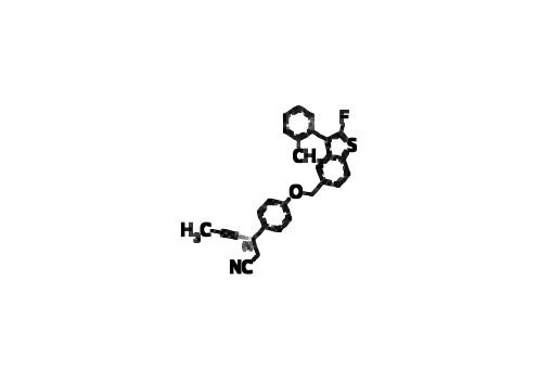 CC#C[C@@H](CC#N)c1ccc(OCc2ccc3sc(F)c(-c4ccccc4C)c3c2)cc1